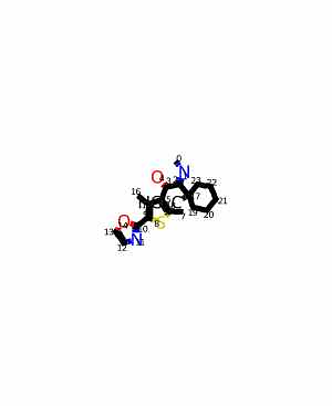 C/N=C(\C(=O)c1c(C)sc(-c2ncco2)c1C)C1(C(=O)O)CCCCC1